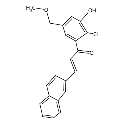 COCc1cc(O)c(Cl)c(C(=O)/C=C/c2ccc3ccccc3c2)c1